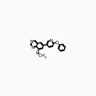 COc1cc(-c2ccc(Oc3ccccc3)nc2)cc2cncnc12